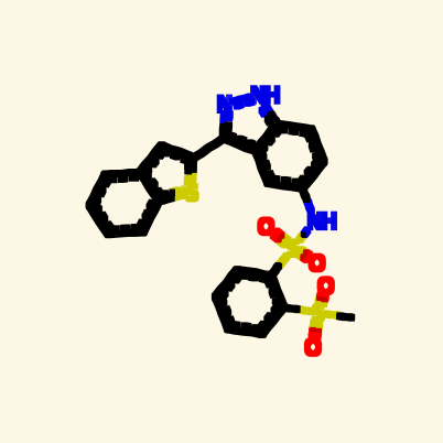 CS(=O)(=O)c1ccccc1S(=O)(=O)Nc1ccc2[nH]nc(-c3cc4ccccc4s3)c2c1